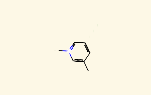 CCCC[n+]1cccc(C)c1.Cl.Cl.[Cl-]